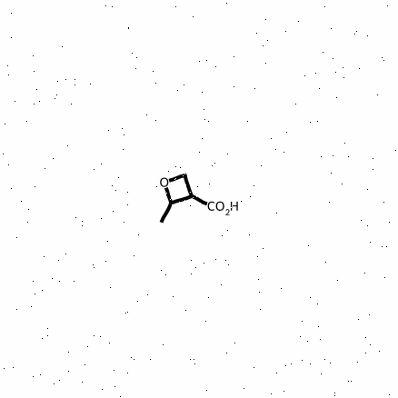 CC1OCC1C(=O)O